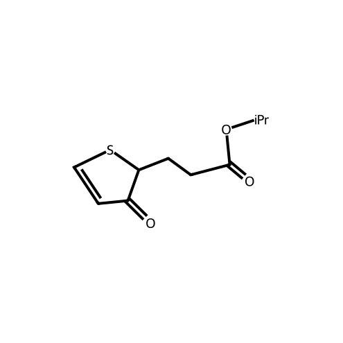 CC(C)OC(=O)CCC1SC=CC1=O